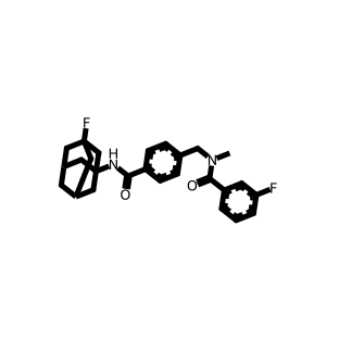 CN(Cc1ccc(C(=O)NC23CC4CC(CC(F)(C4)C2)C3)cc1)C(=O)c1cccc(F)c1